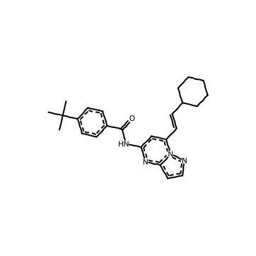 CC(C)(C)c1ccc(C(=O)Nc2cc(/C=C/C3CCCCC3)n3nccc3n2)cc1